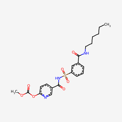 CCCCCCNC(=O)c1cccc(S(=O)(=O)NC(=O)c2ccc(OC(=O)OC)nc2)c1